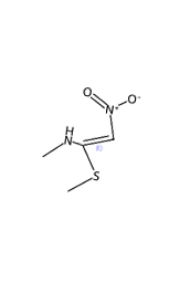 CN/C(=C\[N+](=O)[O-])SC